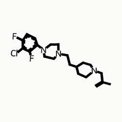 C=C(C)CN1CCC(CCN2CCN(c3ccc(F)c(Cl)c3F)CC2)CC1